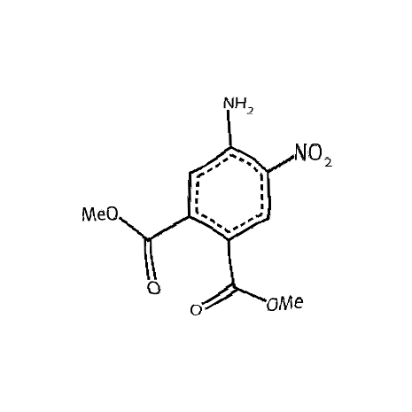 COC(=O)c1cc(N)c([N+](=O)[O-])cc1C(=O)OC